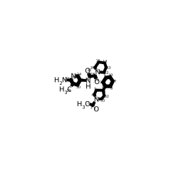 CC(=O)N1CCC(c2cccc([C@H]3CCCCN3C(=O)C(=O)Nc3cnc(N)c(C)c3)c2)CC1